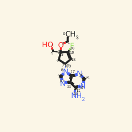 CCO[C@@]1(CO)C[C@@H](n2cnc3c(N)ncnc32)C=C1F